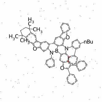 CCCCc1ccc(N2c3cc4c(-c5ccccc5)c(-c5ccccc5)oc4cc3B3c4c(cc5c(oc6ccccc65)c42)-c2cc4c(cc2N3c2ccccc2)oc2cc3c(cc24)C(C)(C)CCC3(C)C)c(-c2ccccc2)c1